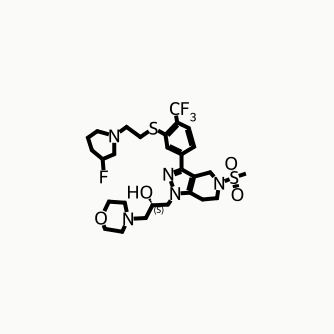 CS(=O)(=O)N1CCc2c(c(-c3ccc(C(F)(F)F)c(SCCN4CCCC(F)C4)c3)nn2C[C@@H](O)CN2CCOCC2)C1